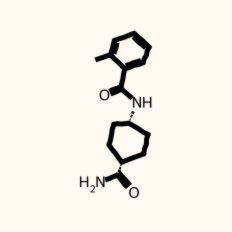 Cc1ccccc1C(=O)N[C@H]1CC[C@@H](C(N)=O)CC1